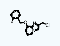 Fc1ccccc1COc1cccn2cc(CCl)nc12